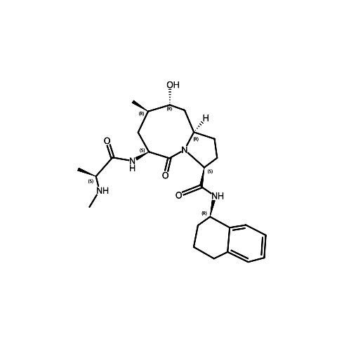 CN[C@@H](C)C(=O)N[C@H]1C[C@@H](C)[C@H](O)C[C@H]2CC[C@@H](C(=O)N[C@@H]3CCCc4ccccc43)N2C1=O